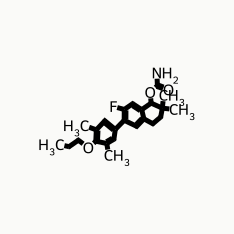 CCCOc1c(C)cc(-c2cc3c(cc2F)C(OC(N)=O)C(C)(C)CC3)cc1C